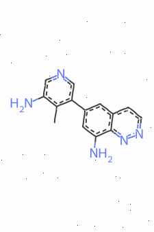 Cc1c(N)cncc1-c1cc(N)c2nnccc2c1